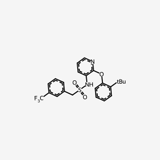 CC(C)(C)c1ccccc1Oc1ncccc1NS(=O)(=O)Cc1cccc(C(F)(F)F)c1